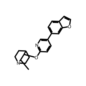 CC1C(Oc2ccc(-c3ccc4ccoc4c3)cn2)C2CCN1CC2